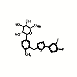 CS[C@H]1OC(c2ccc(C)c(Cc3ccc(-c4ccc(F)c(F)c4)s3)c2)[C@H](O)[C@@H](O)[C@@H]1O